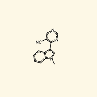 Cn1cc(-c2ncncc2C#N)c2ccccc21